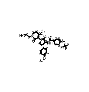 COc1ccc([C@@H]2CN(c3c(C)ccn(CCO)c3=O)C(=O)C2NC(=O)c2ccc(OC(F)(F)F)cc2)cc1